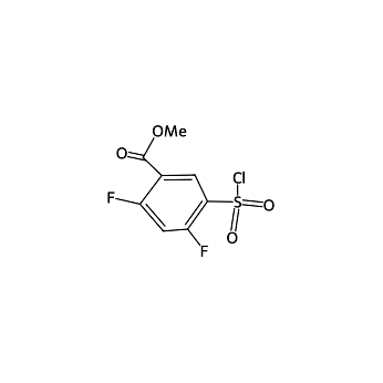 COC(=O)c1cc(S(=O)(=O)Cl)c(F)cc1F